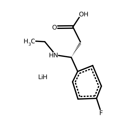 CCN[C@H](CC(=O)O)c1ccc(F)cc1.[LiH]